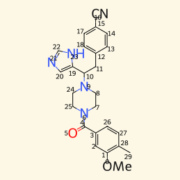 COc1cc(C(=O)N2CCN(C(Cc3ccc(C#N)cc3)c3cnc[nH]3)CC2)ccc1C